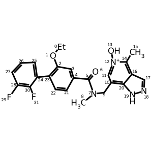 CCOc1cc(C(=O)N(C)Cc2c[n+](O)c(C)c3cn[nH]c23)ccc1-c1cccc(F)c1F